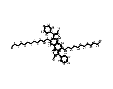 CCCCCCCCCCCCc1cc2c(cc(CCCCCCCCCCCC)c3c(-c4ccccc4)c(C)sc32)c2sc(C)c(-c3ccccc3)c12